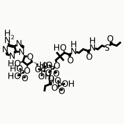 CCC(=O)OP(=O)(O)O.CCC(=O)SCCNC(=O)CCNC(=O)[C@H](O)C(C)(C)COP(=O)(O)OP(=O)(O)OC[C@H]1O[C@@H](n2cnc3c(N)ncnc32)[C@H](O)[C@@H]1OP(=O)(O)O